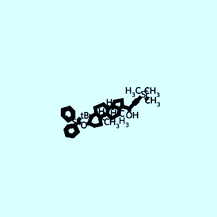 CC(C)(C)[Si](OC1CC[C@@]2(C)C(CC[C@@H]3[C@H]2CC[C@]2(C)C(C(O)C#C[Si](C)(C)C)CC[C@@H]32)C1)(c1ccccc1)c1ccccc1